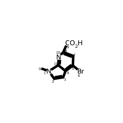 Cn1ccc2c(Br)cc(C(=O)O)nc21